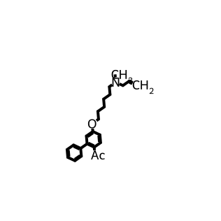 C=CCN(C)CCCCCCOc1ccc(C(C)=O)c(-c2ccccc2)c1